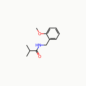 COc1ccccc1CNC(=O)C(C)C